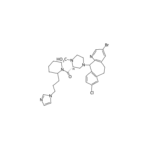 O=C([C@H]1CN(C2c3ccc(Cl)cc3CCc3cc(Br)cnc32)CCN1C(=O)O)N1CCCCC1CCCn1ccnc1